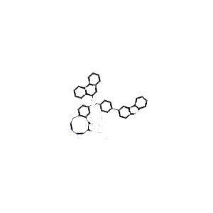 C=C1/C=C\C=C/Cc2ccc(N(c3ccc(-c4ccc5sc6ccccc6c5c4)cc3)c3cc4ccccc4c4ccccc34)cc2C1(C)C